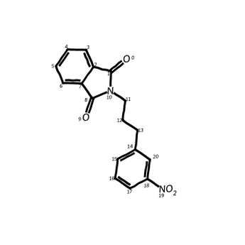 O=C1c2ccccc2C(=O)N1CCCc1cccc([N+](=O)[O-])c1